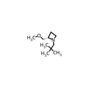 COC[C@@H]1CCN1CC(C)(C)C